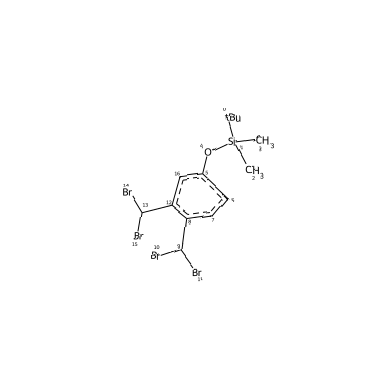 CC(C)(C)[Si](C)(C)Oc1ccc(C(Br)Br)c(C(Br)Br)c1